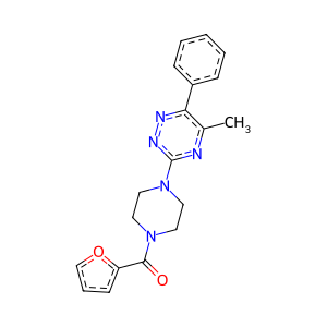 Cc1nc(N2CCN(C(=O)c3ccco3)CC2)nnc1-c1ccccc1